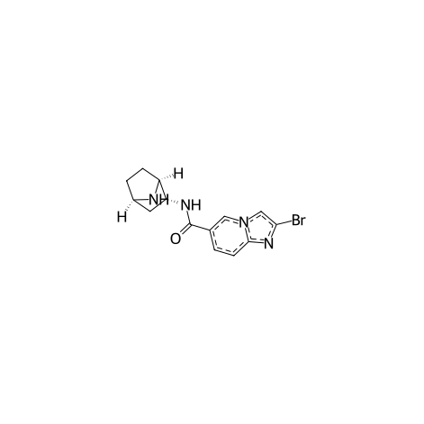 O=C(N[C@@H]1C[C@H]2CC[C@@H]1N2)c1ccc2nc(Br)cn2c1